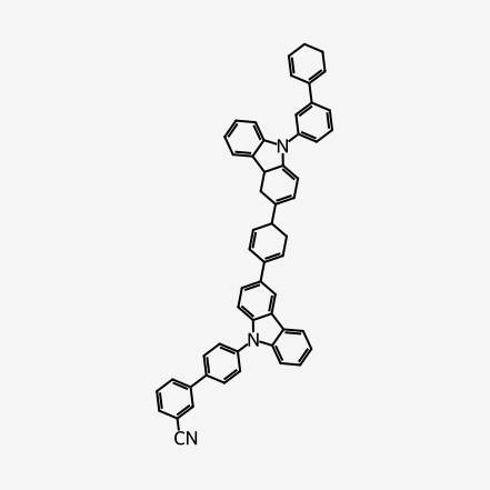 N#Cc1cccc(-c2ccc(-n3c4ccccc4c4cc(C5=CCC(C6=CC=C7C(C6)c6ccccc6N7c6cccc(C7=CCCC=C7)c6)C=C5)ccc43)cc2)c1